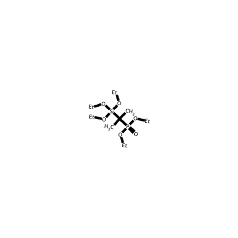 CCO[Si](OCC)(OCC)C(C)(C)P(=O)(OCC)OCC